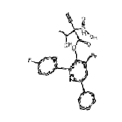 C#CC(C(=O)Oc1c(C(C)C)cc(-c2ccccc2)nc1-c1ccc(F)cc1)(C(C)O)[PH](=O)O